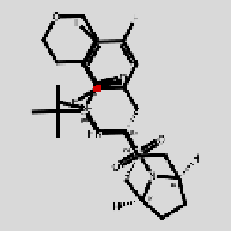 CN(CCS(=O)(=O)N1[C@@H]2CC[C@H]1C[C@H]([C@@H](Cc1cc(F)c(F)cc1F)N[S@@+]([O-])C(C)(C)C)C2)C(=O)C1CCOCC1